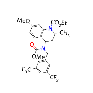 CCOC(=O)N1c2cc(OC)ccc2[C@@H](N(Cc2cc(C(F)(F)F)cc(C(F)(F)F)c2)C(=O)OC)C[C@H]1C